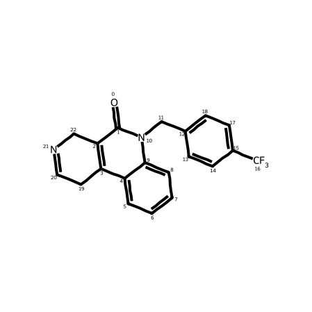 O=c1c2c(c3ccccc3n1Cc1ccc(C(F)(F)F)cc1)CC=NC2